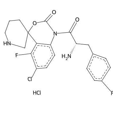 Cl.N[C@@H](Cc1ccc(F)cc1)C(=O)N1C(=O)OC2(CCCNC2)c2c1ccc(Cl)c2F